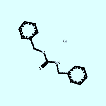 S=C(NCc1ccccc1)OCc1ccccc1.[Cd]